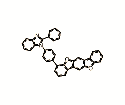 c1ccc(-c2nc3ccccc3n2-c2ccc(-c3cccc4c3oc3cc5c(cc34)oc3ccccc35)cc2)cc1